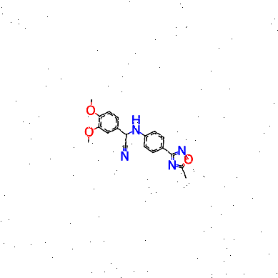 COc1ccc(C(C#N)Nc2ccc(-c3noc(C)n3)cc2)cc1OC